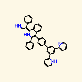 N=C/C(C1=CC=CCC1)=C1\NC(c2ccccc2)=C(c2ccc(-c3cc(C4=CC=CCN4)cc(-c4ccccn4)c3)cc2)c2ccccc21